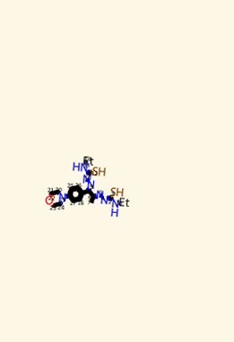 CCN/C(S)=N/N=C(C)/C(=N/N=C(\S)NCC)c1ccc(N2CCOCC2)cc1